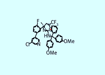 COc1ccc(C(NC2=N[C@](C)(c3cc(-c4cncc(Cl)c4)ccc3F)C[C@@H](C(F)(F)F)O2)(c2ccccc2)c2ccc(OC)cc2)cc1